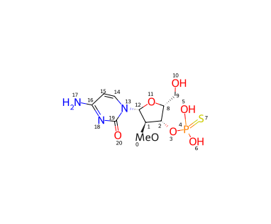 CO[C@@H]1[C@@H](OP(O)(O)=S)[C@@H](CO)O[C@H]1n1ccc(N)nc1=O